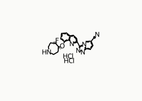 Cl.Cl.N#Cc1ccc2nnc(-c3ccc4cccc(O[C@@H]5CCNCC[C@H]5F)c4n3)n2c1